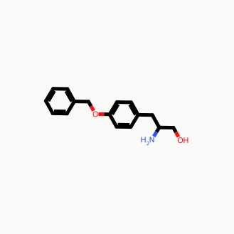 NC(CO)Cc1ccc(OCc2ccccc2)cc1